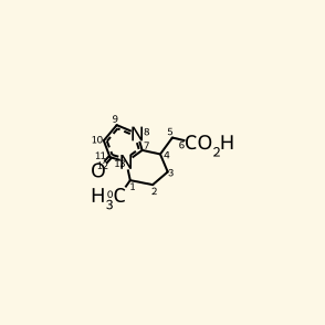 CC1CCC(CC(=O)O)c2nccc(=O)n21